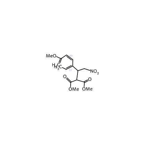 C=C(/C=C\C(=C/C)C(C[N+](=O)[O-])C(C(=O)OC)C(=O)OC)OC